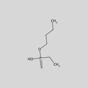 CCCCOP(O)(=S)CC